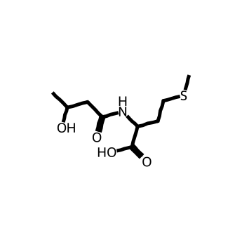 CSCCC(NC(=O)CC(C)O)C(=O)O